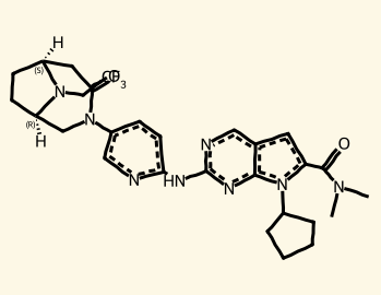 CN(C)C(=O)c1cc2cnc(Nc3ccc(N4C[C@H]5CC[C@@H](CC4=O)N5CC(F)(F)F)cn3)nc2n1C1CCCC1